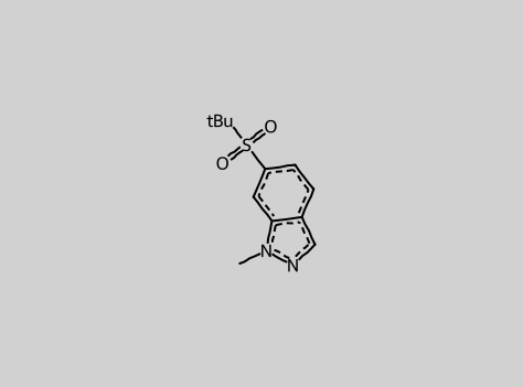 Cn1ncc2ccc(S(=O)(=O)C(C)(C)C)cc21